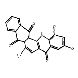 NC1=Cc2c([nH]c3c(Cl)cc(Cl)cc3c2=O)C2C(=O)c3ccccc3C(=O)C12